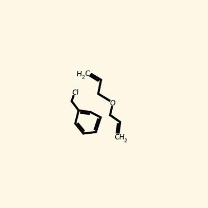 C=CCOCC=C.ClCc1ccccc1